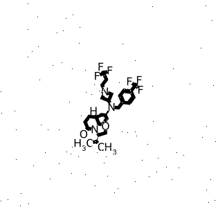 CC(C)[C@H]1CO[C@]23CC[C@H](N(Cc4ccc(C(F)(F)F)cc4)C4CN(CCC(F)(F)F)C4)C[C@H]2CCC(=O)N13